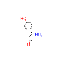 N[C@@H](C[C]=O)c1ccc(O)cc1